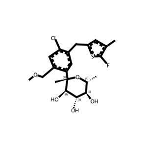 COCc1cc(Cl)c(Cc2cc(C)c(F)s2)cc1[C@]1(C)O[C@H](C)[C@@H](O)[C@H](O)[C@H]1O